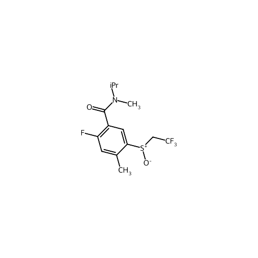 Cc1cc(F)c(C(=O)N(C)C(C)C)cc1[S+]([O-])CC(F)(F)F